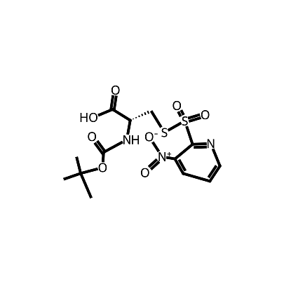 CC(C)(C)OC(=O)N[C@@H](CSS(=O)(=O)c1ncccc1[N+](=O)[O-])C(=O)O